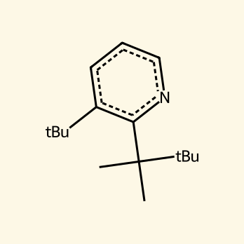 CC(C)(C)c1cccnc1C(C)(C)C(C)(C)C